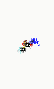 Cc1cc(Sc2cccc(C(F)(F)F)c2)c(S(C)(=O)=O)cc1C(=O)N=C(N)N